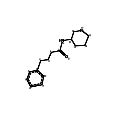 O=C(CCCc1ccccc1)NC1CCC[N]C1